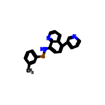 FC(F)(F)c1cccc(SNc2ccc(-c3cccnc3)c3cccnc23)c1